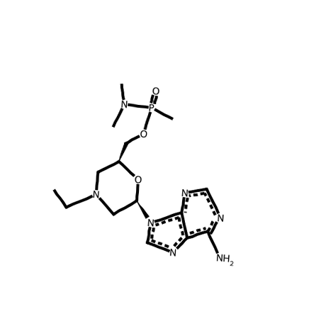 CCN1C[C@@H](COP(C)(=O)N(C)C)O[C@@H](n2cnc3c(N)ncnc32)C1